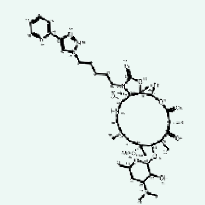 CC[C@H]1OC(=O)[C@H](C)C(=O)[C@@H](C)[C@@H](O[C@@H]2OC(C)CC(N(C)C)C2O)[C@](C)(OC)C[C@@H](C)CN[C@H](C)[C@H]2N(CCCCCn3cc(-c4ccccn4)nn3)C(=O)O[C@]12C